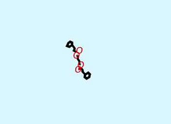 O=C(C=Cc1ccccc1)OCCCCOC(=O)C=Cc1ccccc1